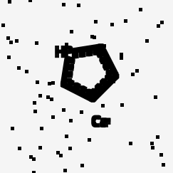 [Ca].c1cc[pH]c1